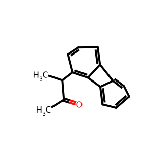 CC(=O)C(C)c1cccc2c1-c1ccccc1-2